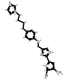 Cc1cc(-c2nc(COc3ccc(CCCCn4ccnc4)cc3)co2)sc1Br